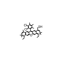 CCN1c2cc3c(cc2C(C)=CC1(C)C)C(c1c(C)c(C)c(C)c(Cl)c1Cl)=c1cc2c(cc1O3)=[N+](CC)C(C)(C)C=C2CS